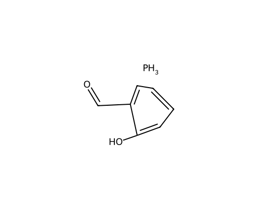 O=Cc1ccccc1O.P